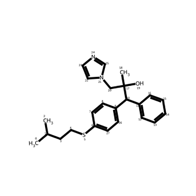 CC(C)CCSc1ccc(C(c2ccccc2)C(C)(O)Cn2ccnc2)cc1